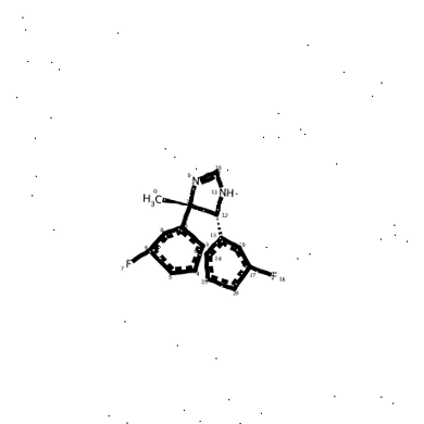 C[C@@]1(c2cccc(F)c2)N=[C]N[C@@H]1c1cccc(F)c1